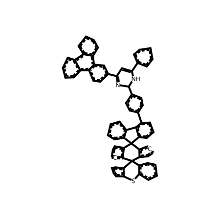 C1=C(c2ccccc2)NC(c2ccc(-c3cccc4c3-c3ccccc3C43c4ccccc4C4(c5ccccc5Sc5ccccc54)c4ccccc43)cc2)N=C1c1ccc2c3ccccc3c3ccccc3c2c1